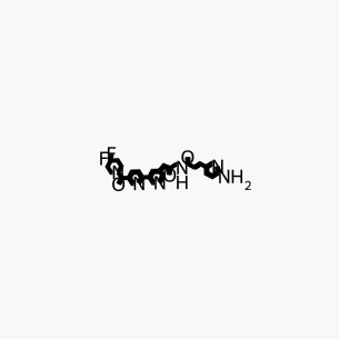 Nc1ccc(C=CC(=O)NCc2cc3cc(-c4ccc(C(=O)N5CCC(F)(F)CC5)cn4)cnc3o2)cn1